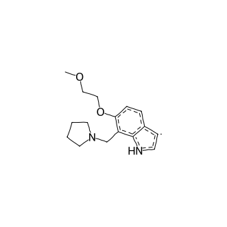 COCCOc1ccc2[c]c[nH]c2c1CN1CCCC1